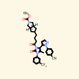 Cc1c(-c2ccnn2-c2ccc(C#N)cc2)n(C(=O)CCCC2C[C@@H]3CN(C(=O)OC(C)(C)C)C[C@@H]3C2)c(=O)n1-c1cccc(C(F)(F)F)c1